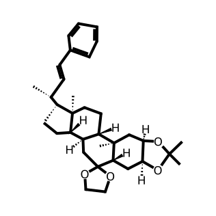 C[C@H](/C=C/c1ccccc1)[C@H]1CC[C@H]2[C@@H]3CC4(OCCO4)[C@H]4C[C@@H]5OC(C)(C)O[C@@H]5C[C@]4(C)[C@H]3CC[C@]12C